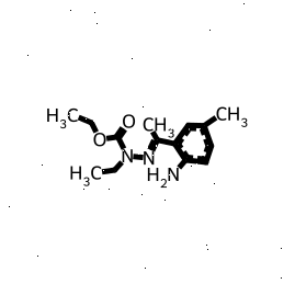 CCOC(=O)N(CC)/N=C(\C)c1cc(C)ccc1N